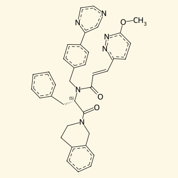 COc1ccc(C=CC(=O)N(Cc2ccc(-c3cnccn3)cc2)[C@@H](Cc2ccccc2)C(=O)N2CCc3ccccc3C2)nn1